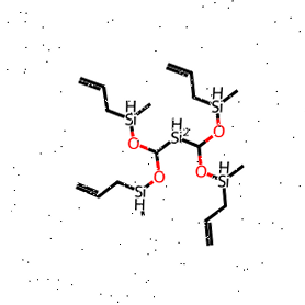 C=CC[SiH](C)OC(O[SiH](C)CC=C)[SiH2]C(O[SiH](C)CC=C)O[SiH](C)CC=C